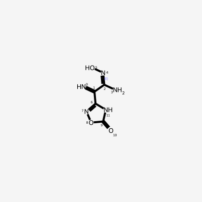 N=C(/C(N)=N\O)c1noc(=O)[nH]1